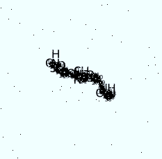 Cn1c(COc2ccc(CC3SC(=O)NC3=O)cc2)nc2ccc(Oc3ccc(CCNC(=O)c4cccnc4)cc3)cc21